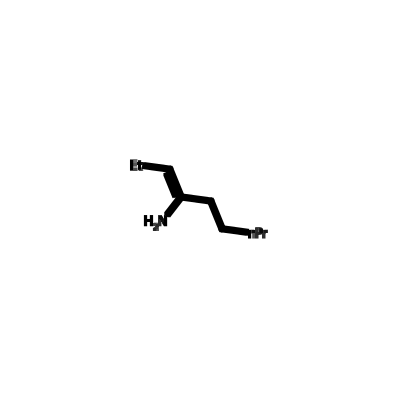 CC/C=C(\N)CCCCC